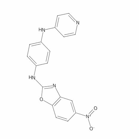 O=[N+]([O-])c1ccc2oc(Nc3ccc(Nc4ccncc4)cc3)nc2c1